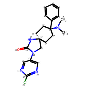 CN(C)[C@]1(c2ccccc2)CC[C@]2(CC1)CN(c1cnc(Cl)nc1)C(=O)N2